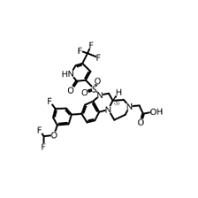 O=C(O)CN1CCN2c3ccc(-c4cc(F)cc(OC(F)F)c4)cc3N(S(=O)(=O)c3cc(C(F)(F)F)c[nH]c3=O)C[C@@H]2C1